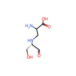 NC(CN[C@H](C=O)CO)C(=O)O